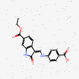 CCOC(=O)c1ccc2c(c1)NC(=O)C2=CNc1ccc(C(=O)O)cc1